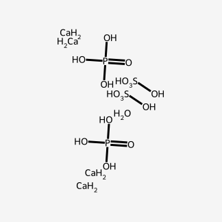 O.O=P(O)(O)O.O=P(O)(O)O.O=S(=O)(O)O.O=S(=O)(O)O.[CaH2].[CaH2].[CaH2].[CaH2]